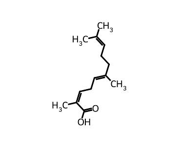 CC(C)=CCCC(C)=CCC=C(C)C(=O)O